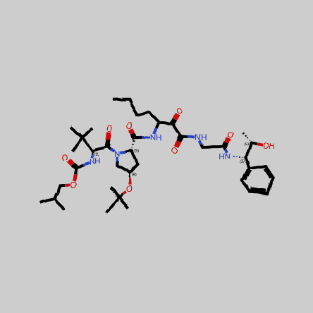 CCCCC(NC(=O)[C@@H]1C[C@@H](OC(C)(C)C)CN1C(=O)[C@@H](NC(=O)OCC(C)C)C(C)(C)C)C(=O)C(=O)NCC(=O)N[C@@H](c1ccccc1)[C@H](C)O